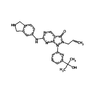 C=CCn1c(=O)c2cnc(Nc3ccc4c(c3)CNC4)nc2n1-c1cccc(C(C)(C)O)n1